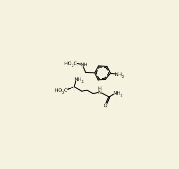 NC(=O)NCCC[C@H](N)C(=O)O.Nc1ccc(CNC(=O)O)cc1